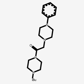 CCC(C)N1CCN(C(=O)CN2CCN(c3ccccc3)CC2)CC1